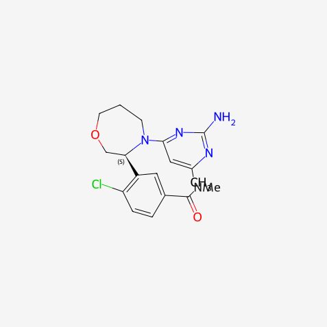 CNC(=O)c1ccc(Cl)c([C@H]2COCCCN2c2cc(C)nc(N)n2)c1